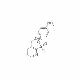 CC(=O)OCC1=C(S(=O)(=O)Oc2ccc([N+](=O)[O-])cc2)N=CSC1